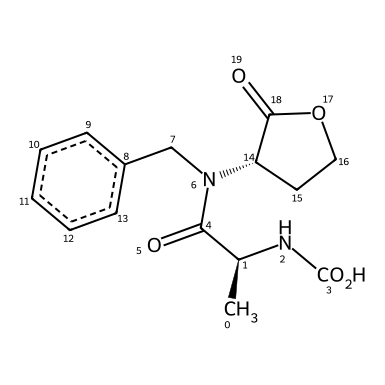 C[C@H](NC(=O)O)C(=O)N(Cc1ccccc1)[C@H]1CCOC1=O